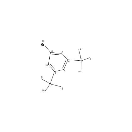 CC(C)(C)c1[c]c(C(C)(C)C)cc(Br)c1